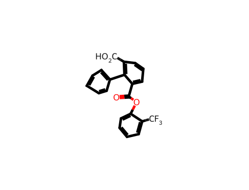 O=C(O)c1cccc(C(=O)Oc2ccccc2C(F)(F)F)c1-c1ccccc1